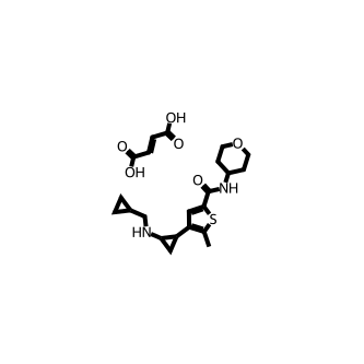 Cc1sc(C(=O)NC2CCOCC2)cc1C1CC1NCC1CC1.O=C(O)C=CC(=O)O